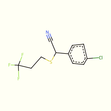 N#CC(SCCC(F)(F)F)c1ccc(Cl)cc1